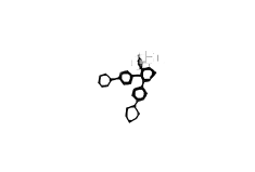 CC(C)(C)Oc1cc[c]c(-c2ccc(C3CCCCC3)cc2)c1-c1ccc(C2CCCCC2)cc1